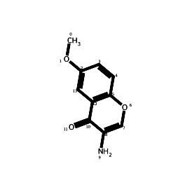 COc1ccc2occ(N)c(=O)c2c1